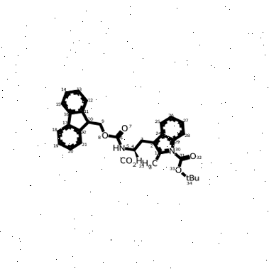 Cc1c(C[C@H](NC(=O)OCC2c3ccccc3-c3ccccc32)C(=O)O)c2ccccc2n1C(=O)OC(C)(C)C